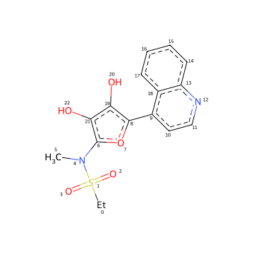 CCS(=O)(=O)N(C)c1oc(-c2ccnc3ccccc23)c(O)c1O